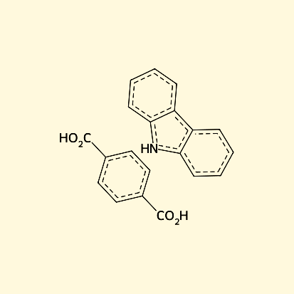 O=C(O)c1ccc(C(=O)O)cc1.c1ccc2c(c1)[nH]c1ccccc12